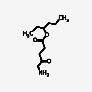 CCCC(CC)OC(=O)CCC(=O)CN